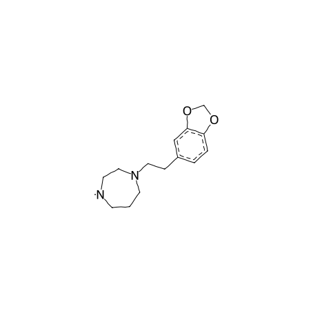 c1cc2c(cc1CCN1CCC[N]CC1)OCO2